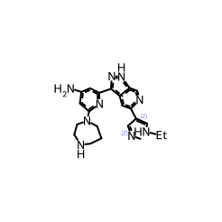 CCN/C=C(\C=N/C)c1cc2c(-c3cc(N)cc(N4CCCNCC4)n3)n[nH]c2cn1